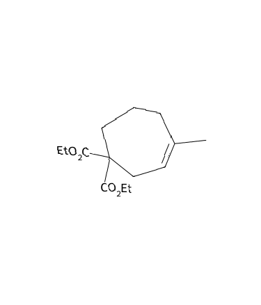 CCOC(=O)C1(C(=O)OCC)CC=C(C)CCC1